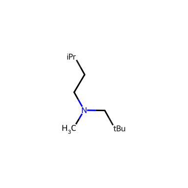 CC(C)CCN(C)CC(C)(C)C